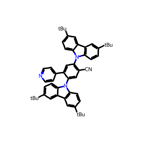 CC(C)(C)c1ccc2c(c1)c1cc(C(C)(C)C)ccc1n2-c1cc(-c2ccncc2)c(-n2c3ccc(C(C)(C)C)cc3c3cc(C(C)(C)C)ccc32)cc1C#N